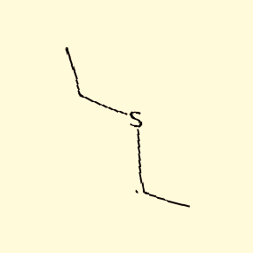 C[CH]SCC